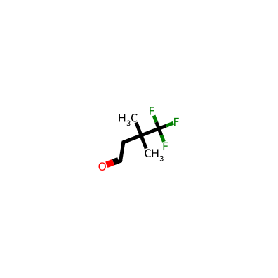 CC(C)(CC=O)C(F)(F)F